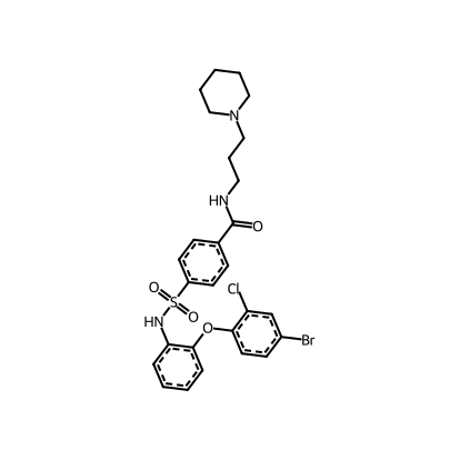 O=C(NCCCN1CCCCC1)c1ccc(S(=O)(=O)Nc2ccccc2Oc2ccc(Br)cc2Cl)cc1